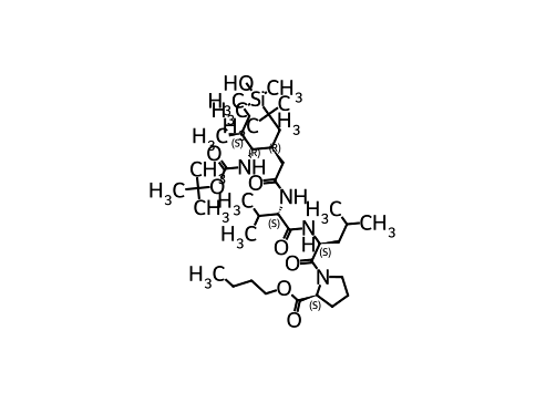 CCCCOC(=O)[C@@H]1CCCN1C(=O)[C@H](CC(C)C)NC(=O)[C@@H](NC(=O)C[C@H](CC(C)(C)[Si](C)(C)O)[C@H](NC(=O)OC(C)(C)C)[C@@H](C)CC)C(C)C